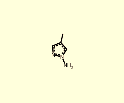 Cc1[c]nn(N)c1